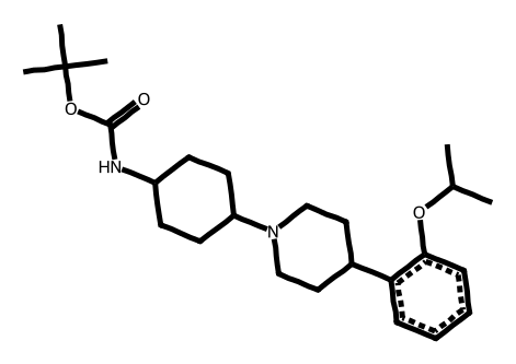 CC(C)Oc1ccccc1C1CCN(C2CCC(NC(=O)OC(C)(C)C)CC2)CC1